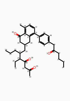 CCCCC(=O)Cc1ccc(-c2ccc(C)c3c2CC(CC(CCC)C(CC)C(=O)CC(C)=O)CC3=O)cc1